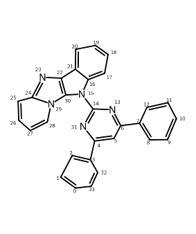 c1ccc(-c2cc(-c3ccccc3)nc(-n3c4ccccc4c4nc5ccccn5c43)n2)cc1